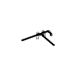 CCCCCCCCCCCCCCCCCCNC(=O)OCC(COC(=O)NCCCC(C)(C)OCCC(C)(C)OC)NC(=O)CCCCCCCCCCCCCCCCC